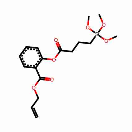 C=CCOC(=O)c1ccccc1OC(=O)CCC[Si](OC)(OC)OC